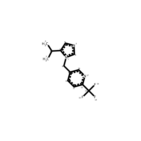 CC(C)c1cncn1Cc1ccc(C(F)(F)F)nc1